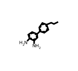 CCCc1ccc(-c2ccc(N)c(N)c2)cc1